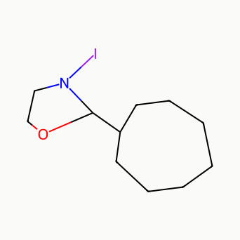 IN1CCOC1C1CCCCCCC1